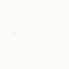 C=CC(=O)OC(C)(C)C(C)OC(C)C